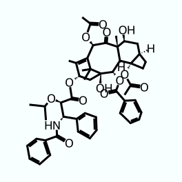 CC(=O)O[C@H]1C(=O)[C@@]2(C)[C@H]([C@H](OC(=O)c3ccccc3)[C@]3(O)C[C@H](OC(=O)[C@H](OC(C)C)[C@@H](NC(=O)c4ccccc4)c4ccccc4)C(C)=C1C3(C)C)[C@]1(OC(C)=O)CC[C@@H]1C[C@@H]2O